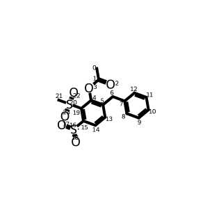 CC(=O)Oc1c(Cc2ccccc2)ccc([S](=O)=O)c1S(C)(=O)=O